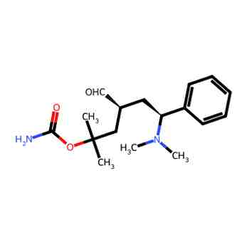 CN(C)[C@@H](C[C@H](C=O)CC(C)(C)OC(N)=O)c1ccccc1